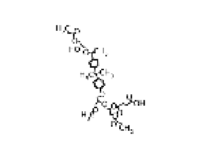 C=CC(=O)OCC(O)COC(=C)c1ccc(C(C)(C)c2ccc(OCC(COC)OCC(COC(=O)C=C)OC(=O)CCC(=O)O)cc2)cc1